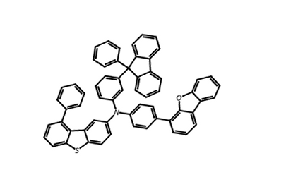 c1ccc(-c2cccc3sc4ccc(N(c5ccc(-c6cccc7c6oc6ccccc67)cc5)c5cccc(C6(c7ccccc7)c7ccccc7-c7ccccc76)c5)cc4c23)cc1